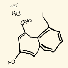 Cl.Cl.O=Cc1cc(O)cc2cccc(I)c12